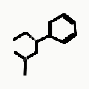 CC[C@@H](CN(C)C)c1ccccc1